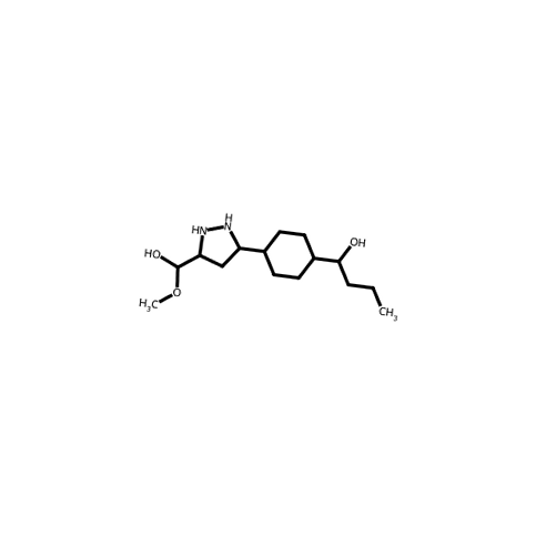 CCCC(O)C1CCC(C2CC(C(O)OC)NN2)CC1